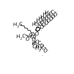 C=CC(=O)OCC(CCCCCCCCC)(OOC(=O)C=C)Oc1ccccc1.[CH2]C[O].[CH2]C[O].[CH2]C[O].[CH2]C[O].[CH2]C[O].[CH2]C[O].[CH2]C[O].[CH2]C[O].[CH2]C[O]